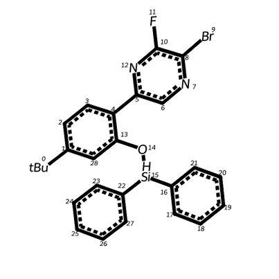 CC(C)(C)c1ccc(-c2cnc(Br)c(F)n2)c(O[SiH](c2ccccc2)c2ccccc2)c1